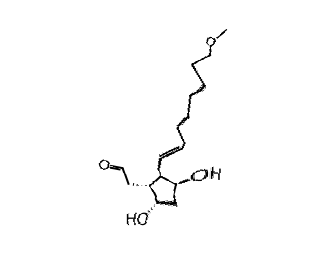 COCCCCCCC=C[C@@H]1[C@@H](CC=O)[C@@H](O)C[C@@H]1O